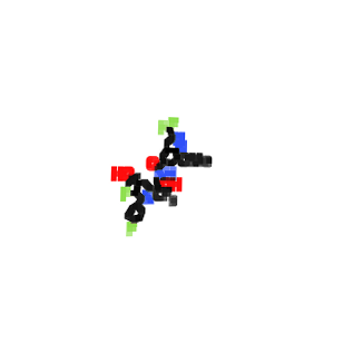 COc1cc(C(=O)NC[C@](O)(c2cc(C(C)(C)O)c(F)c(-c3ccc(F)cc3)n2)C(F)(F)F)cc2cc(C(F)F)nnc12